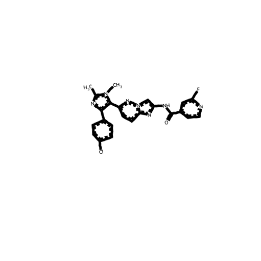 Cc1nc(-c2ccc(Cl)cc2)c(-c2ccc3nc(NC(=O)c4ccnc(F)c4)cn3n2)n1C